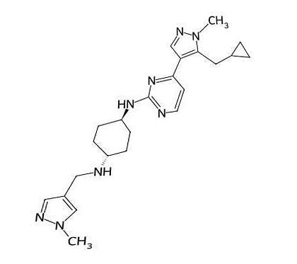 Cn1cc(CN[C@H]2CC[C@H](Nc3nccc(-c4cnn(C)c4CC4CC4)n3)CC2)cn1